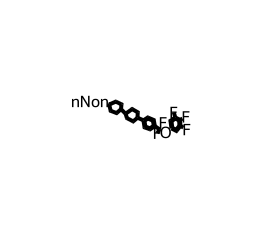 CCCCCCCCCC1CCC(C2CCC(c3ccc(C(F)(F)Oc4cc(F)c(F)c(F)c4)cc3)CC2)CC1